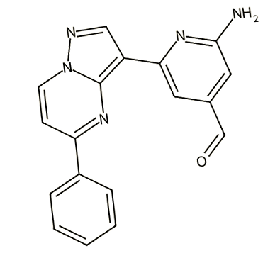 Nc1cc(C=O)cc(-c2cnn3ccc(-c4ccccc4)nc23)n1